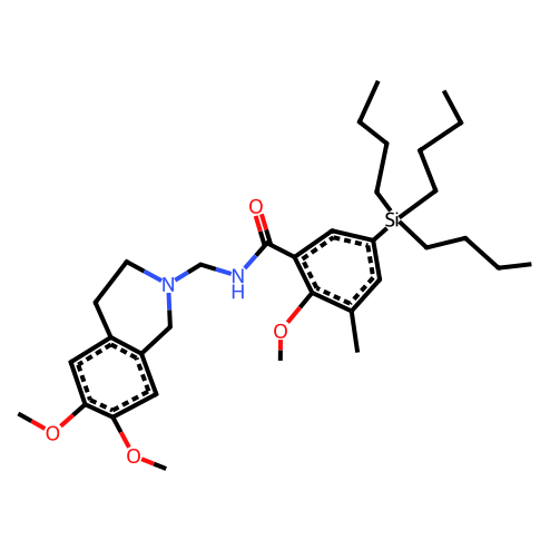 CCCC[Si](CCCC)(CCCC)c1cc(C)c(OC)c(C(=O)NCN2CCc3cc(OC)c(OC)cc3C2)c1